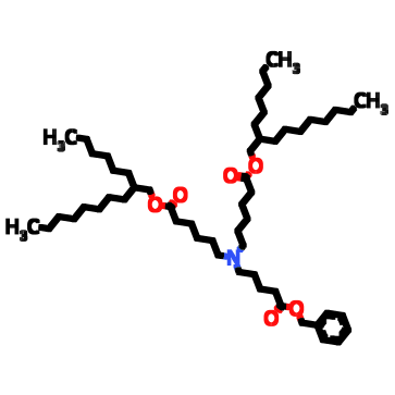 CCCCCCCCC(CCCCCC)COC(=O)CCCCCN(CCCCCC(=O)OCC(CCCCCC)CCCCCCCC)CCCCC(=O)OCc1ccccc1